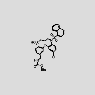 CC(C)(C)OC(=O)NCc1cccc(Oc2cc(Cl)ccc2N(CCCC(=O)O)S(=O)(=O)c2cccc3ccccc23)c1